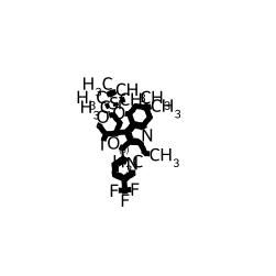 CC(C)c1nc2c(c3c1[C@@H](c1ccc(C(F)(F)F)cn1)OC31CCOCC1I)C(O[Si](C)(C)C(C)(C)C)CC(C)(C)C2